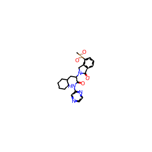 CS(=O)(=O)c1cccc2c1CN(C(CC1CCCCC1)C(=O)Nc1cnccn1)C2=O